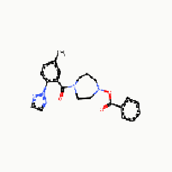 Cc1ccc(-n2nccn2)c(C(=O)N2CCCN(OC(=O)c3ccccc3)CC2)c1